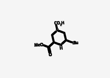 COC(=O)C1CN(C(=O)O)CC(C(C)(C)C)N1